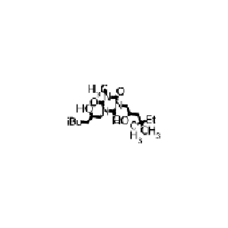 CCC(C)CC(O)Cn1c(=O)n(C)c(=O)n(CC(O)CC(C)(C)CC)c1=O